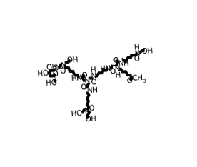 CC(=O)CCCCCN[C@@H](CC(=O)NCCCCCNC(=O)CN(CC(=O)NCCCCCC(=O)N(CCO)CCO)CC(=O)NCCCCCC(=O)N(CCO)CCO[C@H]1O[C@H](CO)C[C@H](O)[C@@H]1O)C(=O)NCCCCCC(=O)NCCO